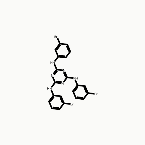 Brc1cccc(Nc2nc(Nc3cccc(Br)c3)nc(Nc3cccc(Br)c3)n2)c1